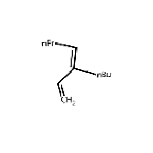 C=CC(=CCCC)CCCC